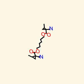 CC1CC1(C#N)C(=O)OCCCCCCOC(=O)C1(C#N)CC1C